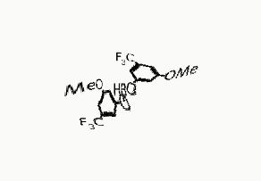 COc1cc(OBOc2cc(OC)cc(C(F)(F)F)c2)cc(C(F)(F)F)c1